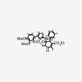 CCOC(=O)C1=C(C)NC(C)C(Nc2nc(-c3ccc(OC)c(OC)c3)cs2)(C(=O)OCC)C1c1ccccc1